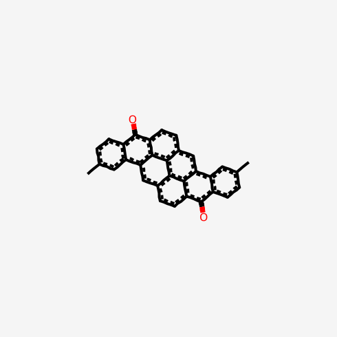 Cc1ccc2c(=O)c3ccc4cc5c6cc(C)ccc6c(=O)c6ccc7cc(c2c1)c3c4c7c65